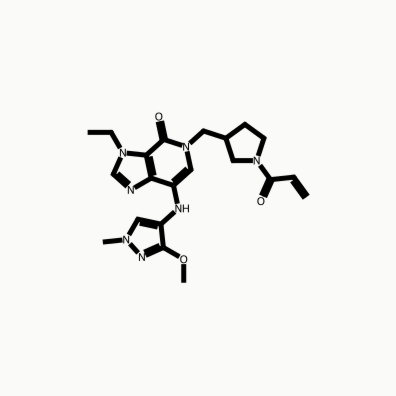 C=CC(=O)N1CCC(Cn2cc(Nc3cn(C)nc3OC)c3ncn(CC)c3c2=O)C1